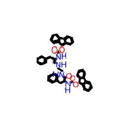 O=C(NC(CNCCNC(=O)C(Cc1ccccc1)NC(=O)OC1c2ccccc2-c2ccccc21)Cc1ccccc1)OC1c2ccccc2-c2ccccc21